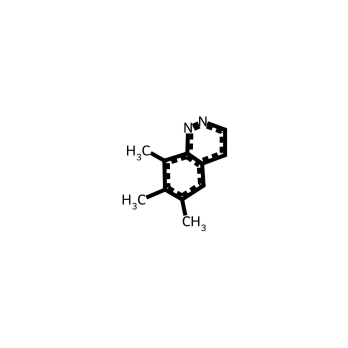 Cc1cc2ccnnc2c(C)c1C